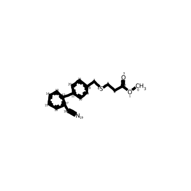 COC(=O)CCSCc1ccc(-c2ccccc2C#N)cc1